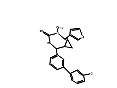 N=C(NC(c1cccc(-c2cccc(Cl)c2)c1)C1CC1)N(C=O)Cc1ccoc1